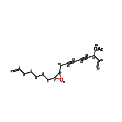 C=CCCCCCC1OC1CC#CC#CC(C=C)OC(C)=O